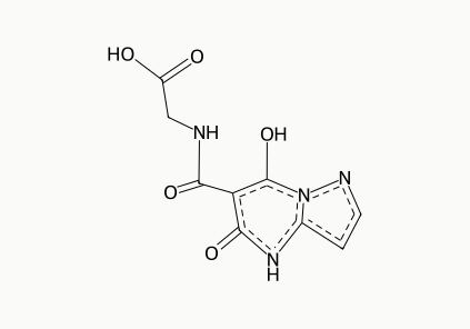 O=C(O)CNC(=O)c1c(O)n2nccc2[nH]c1=O